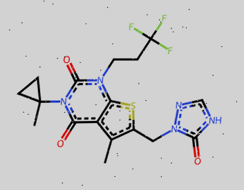 Cc1c(Cn2nc[nH]c2=O)sc2c1c(=O)n(C1(C)CC1)c(=O)n2CCC(F)(F)F